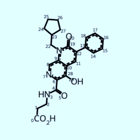 O=C(O)CCNC(=O)c1ncc2c(cc(-c3ccccc3)c(=O)n2CC2CCCC2)c1O